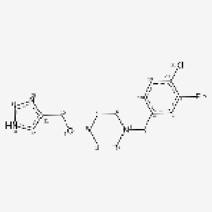 Fc1cc(CN2CCC(OCc3c[nH]cn3)CC2)ccc1Cl